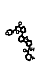 CN1CCCC(C(=O)Nc2ccc3sc4c(-c5cccc6c(=O)cc(N7CCOCC7)oc56)cccc4c3c2)C1